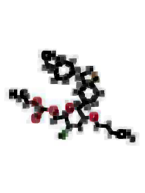 CCCCOC1CC(F)C(COC(=O)OCC)OC1c1ccc2c(c1)[C@H](c1ccc(CC)cc1)CS2